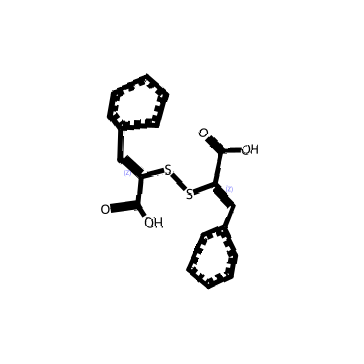 O=C(O)/C(=C/c1ccccc1)SS/C(=C\c1ccccc1)C(=O)O